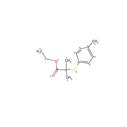 CCOC(=O)C(C)(C)Sc1ccc(C)cc1